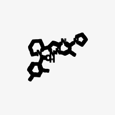 CC1=CN2NC(C3CCCCN3C(=O)c3ccc(C)cc3C)C=C2N=C1N1CCCC1